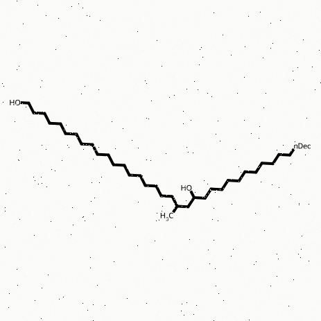 CCCCCCCCCCCCCCCCCCCCCC(O)CC(C)CCCCCCCCCCCCCCCCCCCO